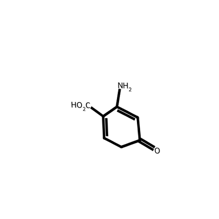 NC1=CC(=O)CC=C1C(=O)O